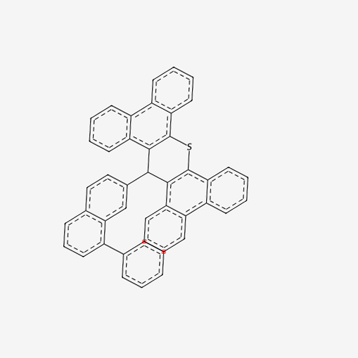 c1ccc(-c2cccc3ccc(C4c5c(c6ccccc6c6ccccc56)Sc5c4c4ccccc4c4ccccc54)cc23)cc1